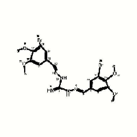 COc1cc(/C=N/NC(=N)N/N=C/c2cc(Br)c(OC)c(OC)c2)cc(Br)c1OC